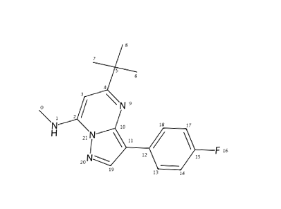 CNc1cc(C(C)(C)C)nc2c(-c3ccc(F)cc3)cnn12